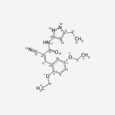 CCOc1ccc(OCC)c(C=C(C#N)C(=O)Nc2nnc(CC)s2)c1